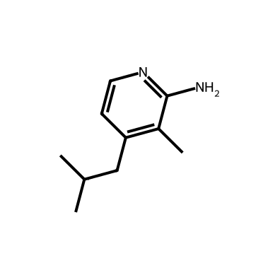 C[C](C)Cc1ccnc(N)c1C